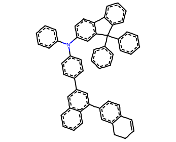 C1=Cc2ccc(-c3cc(-c4ccc(N(c5ccccc5)c5ccc6c(c5)C(c5ccccc5)(c5ccccc5)c5ccccc5-6)cc4)cc4ccccc34)cc2CC1